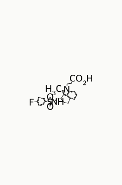 Cc1c2c3c(cccc3n1CCC(=O)O)CCC2CNS(=O)(=O)c1ccc(F)cc1